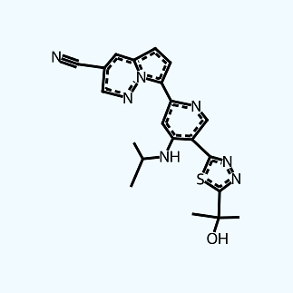 CC(C)Nc1cc(-c2ccc3cc(C#N)cnn23)ncc1-c1nnc(C(C)(C)O)s1